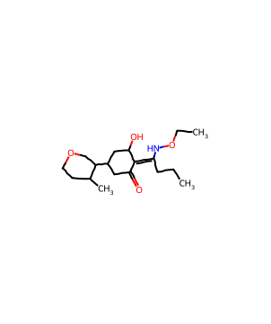 CCCC(NOCC)=C1C(=O)CC(C2COCCC2C)CC1O